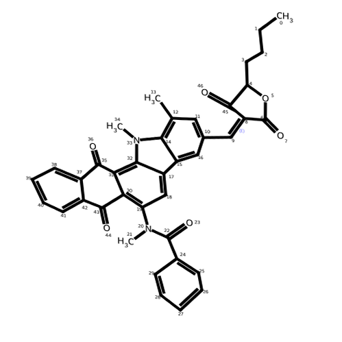 CCCCC1OC(=O)/C(=C/c2cc(C)c3c(c2)c2cc(N(C)C(=O)c4ccccc4)c4c(c2n3C)C(=O)c2ccccc2C4=O)C1=O